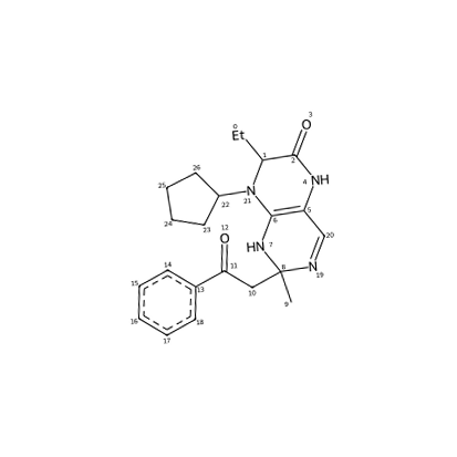 CCC1C(=O)NC2=C(NC(C)(CC(=O)c3ccccc3)N=C2)N1C1CCCC1